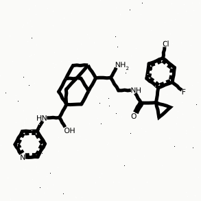 NC(CNC(=O)C1(c2ccc(Cl)cc2F)CC1)C1C2CC3CC1CC(C(O)Nc1ccncc1)(C3)C2